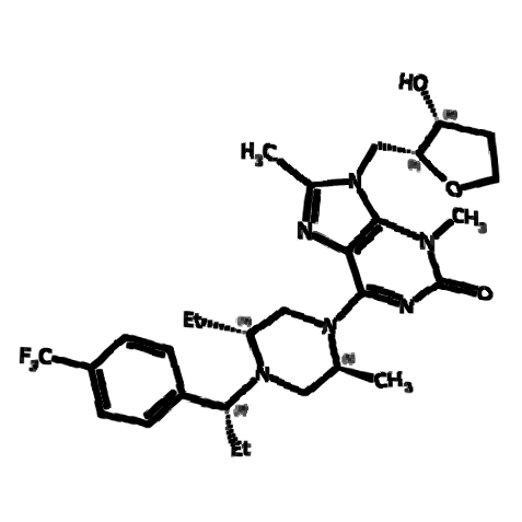 CC[C@@H]1CN(c2nc(=O)n(C)c3c2nc(C)n3C[C@H]2OCC[C@H]2O)[C@@H](C)CN1[C@H](CC)c1ccc(C(F)(F)F)cc1